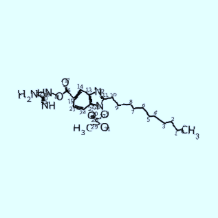 CCCCCCCCCCCc1nc2cc(C(=O)ONC(=N)N)ccc2n1OS(C)(=O)=O